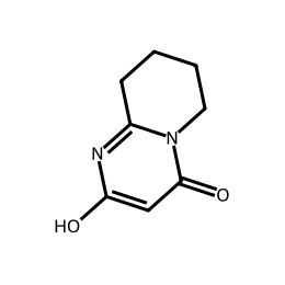 O=c1cc(O)nc2n1CCCC2